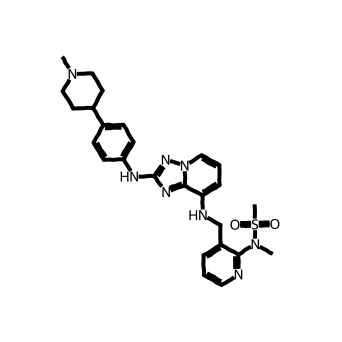 CN1CCC(c2ccc(Nc3nc4c(NCc5cccnc5N(C)S(C)(=O)=O)cccn4n3)cc2)CC1